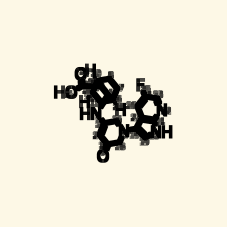 O=C1C=C(NC2[C@H]3CC[C@H](CC3)[C@@H]2C(=O)O)CN(c2c[nH]c3ncc(F)cc23)C1